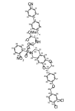 COC(=O)[C@H](Cc1ccc(-c2ccc(C#N)cc2)cc1)NC(=O)[C@@H]1Cc2cc3c(cc2CN1S(=O)(=O)c1ccccc1[N+](=O)[O-])O[C@@H](c1ccc(OCc2ccc(Cl)c(Cl)c2)cc1)CO3